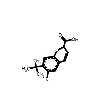 CC(C)(C)c1cc2c(cc1Cl)C=CC(C(=O)O)O2